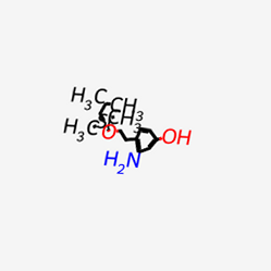 CC(C)C[Si](C)(C)OCCc1ccc(O)cc1N